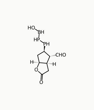 O=C[C@@H]1[C@H]2CC(=O)O[C@H]2C[C@H]1PPBO